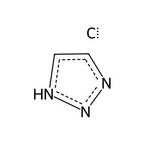 [C].c1c[nH]nn1